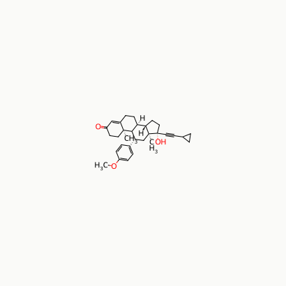 COc1ccc([C@H]2C[C@@]3(C)[C@@H](CC[C@@]3(O)C#CC3CC3)[C@@H]3CCC4=CC(=O)CC[C@]4(C)C23)cc1